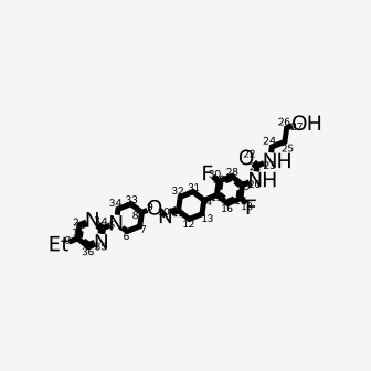 CCc1cnc(N2CCC(ON=C3CCC(c4cc(F)c(NC(=O)NCCCO)cc4F)CC3)CC2)nc1